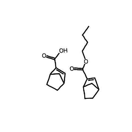 CCCCOC(=O)C1=CC2CCC1C2.O=C(O)C1=CC2CCC1C2